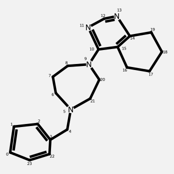 c1ccc(CN2CCCN(c3ncnc4c3CCCC4)CC2)cc1